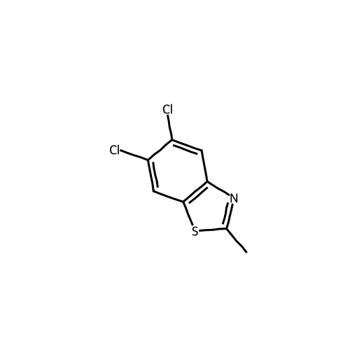 Cc1nc2cc(Cl)c(Cl)cc2s1